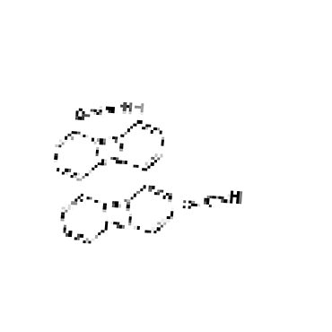 N=C=O.N=C=O.c1ccc2c(c1)=c1ccccc1=2.c1ccc2c(c1)=c1ccccc1=2